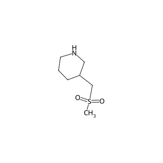 CS(=O)(=O)CC1CCCNC1